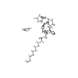 CCCCCCCCCCCCNC(=O)[C@@H]1CCCN1C(=O)[C@@H]1CCCN1.Cl